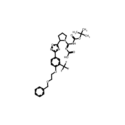 CC(C)(C)OC(=O)NC(=NC(=O)O)N1CCCC1c1nc(-c2ccc(OCCOCc3ccccc3)c(C(F)(F)F)c2)no1